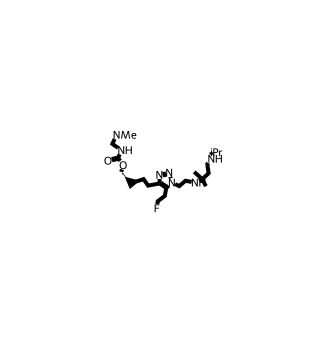 CNCNC(=O)OC[C@H]1CC1CCc1nnn(CCNC(C)(C)CCNC(C)C)c1CCF